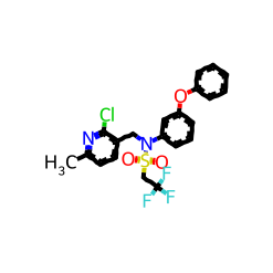 Cc1ccc(CN(c2cccc(Oc3ccccc3)c2)S(=O)(=O)CC(F)(F)F)c(Cl)n1